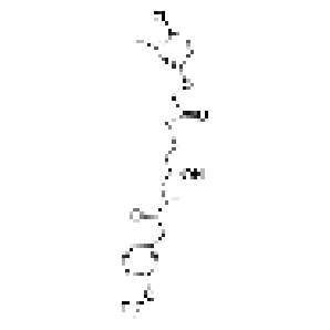 O=C(COc1ccc(Cl)c(F)c1)NCCC(O)CNC(=O)Cc1cccc(OC(F)(F)F)c1